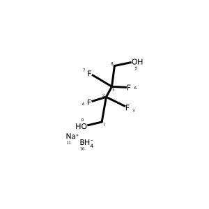 OCC(F)(F)C(F)(F)CO.[BH4-].[Na+]